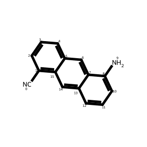 N#Cc1cccc2cc3c(N)cccc3cc12